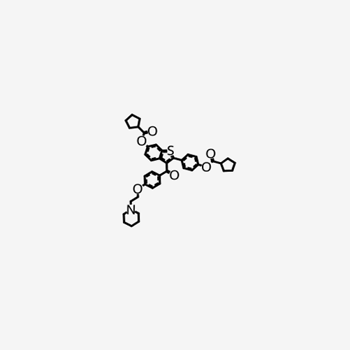 O=C(c1ccc(OCCN2CCCCC2)cc1)c1c(-c2ccc(OC(=O)C3CCCC3)cc2)sc2cc(OC(=O)C3CCCC3)ccc12